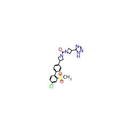 CS(=O)(=O)c1cc(Cl)ccc1-c1ccc(C2CN(C(=O)N3CC(c4ncn[nH]4)C3)C2)cc1